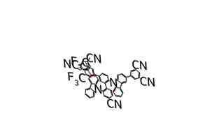 N#Cc1cc(C#N)cc(-c2ccc3c(c2)c2ccccc2n3-c2ccc(-c3cc(C(F)(F)F)cc(C(F)(F)F)c3)cc2-c2ccc(C#N)cc2-n2c3ccccc3c3cc(-c4cc(C#N)cc(C#N)c4)ccc32)c1